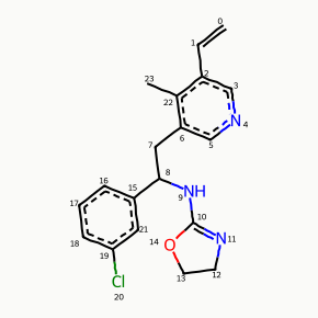 C=Cc1cncc(CC(NC2=NCCO2)c2cccc(Cl)c2)c1C